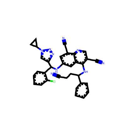 N#CCCC(Nc1c(C#N)cnc2c(C#N)cc(NC(c3cn(C4CC4)nn3)c3ccccc3Cl)cc12)c1ccccc1